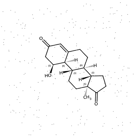 C[C@]12CC[C@H]3[C@@H](CCC4=CC(=O)C[C@H](O)[C@@H]43)[C@@H]1CCC2=O